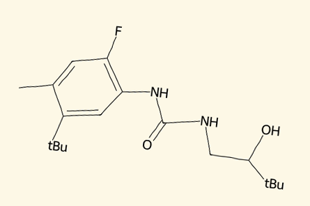 Cc1cc(F)c(NC(=O)NCC(O)C(C)(C)C)cc1C(C)(C)C